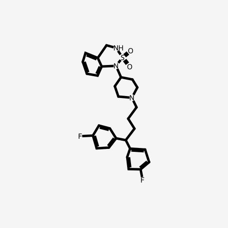 O=S1(=O)NCc2ccccc2N1C1CCN(CCCC(c2ccc(F)cc2)c2ccc(F)cc2)CC1